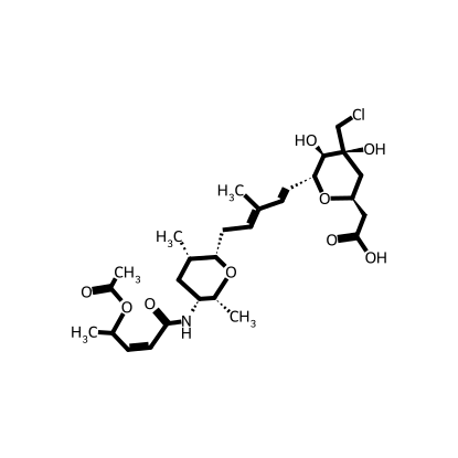 CC(=O)OC(C)/C=C\C(=O)N[C@@H]1C[C@H](C)[C@H](C/C=C(C)/C=C/[C@H]2O[C@H](CC(=O)O)C[C@@](O)(CCl)[C@@H]2O)O[C@@H]1C